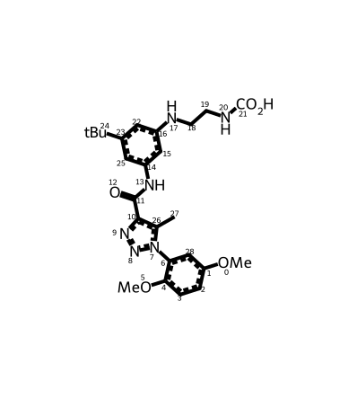 COc1ccc(OC)c(-n2nnc(C(=O)Nc3cc(NCCNC(=O)O)cc(C(C)(C)C)c3)c2C)c1